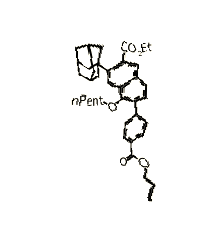 C=CCOC(=O)c1ccc(-c2ccc3cc(C(=O)OCC)c(C45CC6CC(CC(C6)C4)C5)cc3c2OCCCCC)cc1